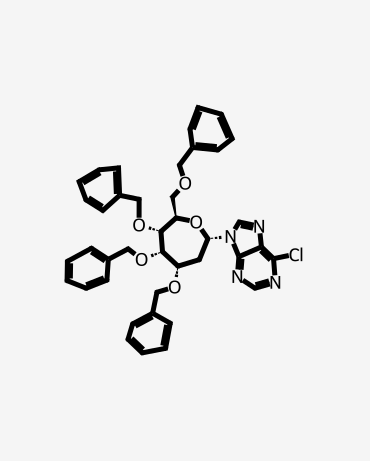 Clc1ncnc2c1ncn2[C@@H]1C[C@H](OCc2ccccc2)[C@H](OCc2ccccc2)[C@H](OCc2ccccc2)[C@@H](COCc2ccccc2)O1